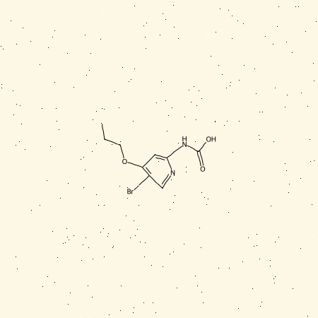 CCCOc1cc(NC(=O)O)ncc1Br